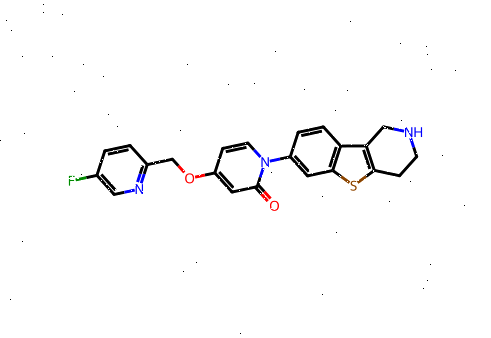 O=c1cc(OCc2ccc(F)cn2)ccn1-c1ccc2c3c(sc2c1)CCNC3